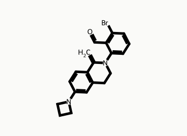 C=C1c2ccc(N3CCC3)cc2CCN1c1cccc(Br)c1C=O